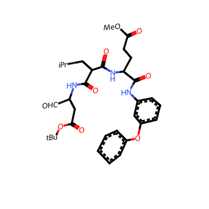 COC(=O)CCC(NC(=O)C(CC(C)C)C(=O)NC(C=O)CC(=O)OC(C)(C)C)C(=O)Nc1cccc(Oc2ccccc2)c1